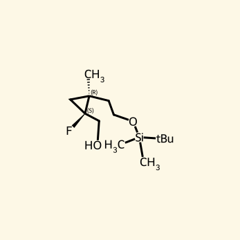 CC(C)(C)[Si](C)(C)OCC[C@]1(C)C[C@@]1(F)CO